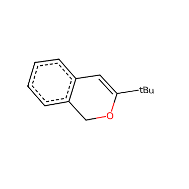 CC(C)(C)C1=Cc2ccccc2CO1